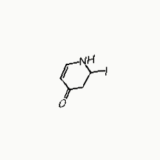 O=C1C=CNC(I)C1